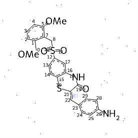 COc1cccc(OC)c1CS(=O)(=O)c1ccc2c(c1)NC(=O)/C(=C\c1ccc(N)cc1)S2